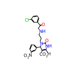 CC1=C(C(=O)O)C(c2cccc([N+](=O)[O-])c2)N(CCCNCC(=O)c2cccc(Cl)c2)C(=O)N1